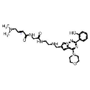 CN(C)C/C=C/C(=O)NCC(=O)NCCNCc1cc2c(N3CCOCC3)nc(-c3ccccc3O)nn2c1